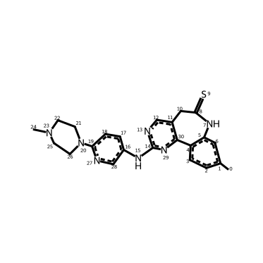 Cc1ccc2c(c1)NC(=S)Cc1cnc(Nc3ccc(N4CCN(C)CC4)nc3)nc1-2